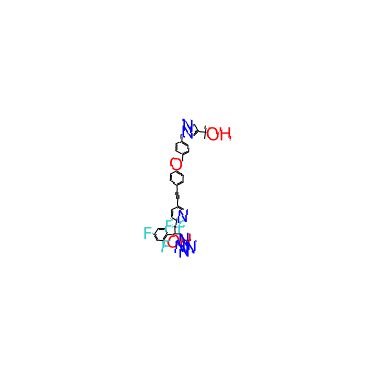 CC(C)(O)c1cnn(Cc2ccc(COc3ccc(C#Cc4ccc(C(F)(F)C(O)(Cn5cnnn5)c5ccc(F)cc5F)nc4)cc3)cc2)c1